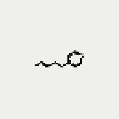 CC=CCCc1ccncc1